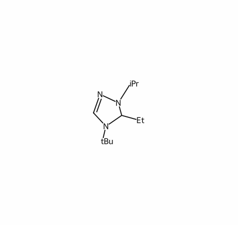 CCC1N(C(C)C)N=CN1C(C)(C)C